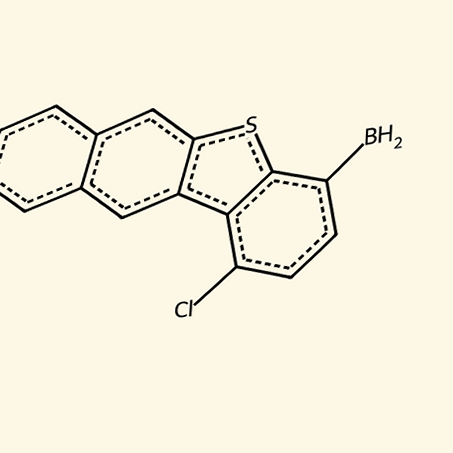 Bc1ccc(Cl)c2c1sc1cc3ccccc3cc12